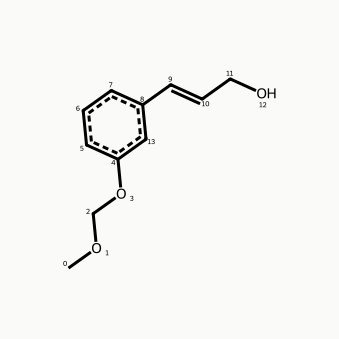 COCOc1cccc(C=CCO)c1